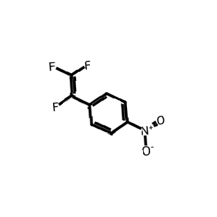 O=[N+]([O-])c1ccc(C(F)=C(F)F)cc1